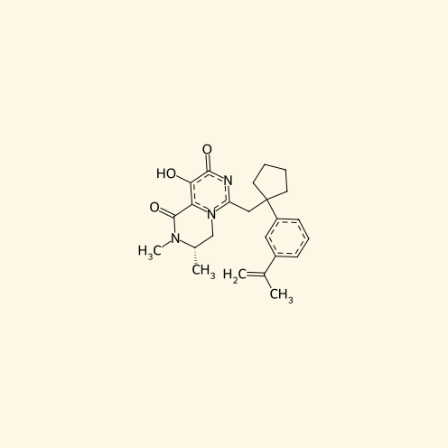 C=C(C)c1cccc(C2(Cc3nc(=O)c(O)c4n3C[C@H](C)N(C)C4=O)CCCC2)c1